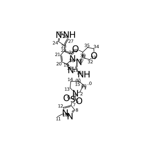 C[C@@H]1CN(S(=O)(=O)c2cnn(C)c2)CC[C@@H]1Nc1nc2ccc(-c3cn[nH]c3)c(OC3CCOCC3)n2n1